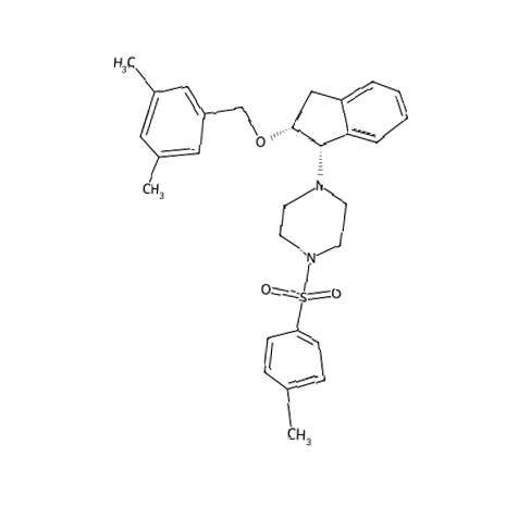 Cc1ccc(S(=O)(=O)N2CCN([C@H]3c4ccccc4C[C@H]3OCc3cc(C)cc(C)c3)CC2)cc1